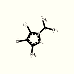 Cc1c(Cl)c(N)nn1C(C)C